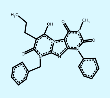 CCCc1c(O)n2c3c(=O)n(C)c(=O)n(-c4ccccc4)c3nc2n(Cc2ccccc2)c1=O